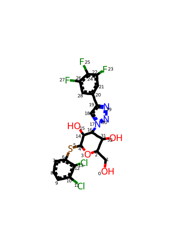 OCC1OC(Sc2cccc(Cl)c2Cl)C(O)C(n2cc(-c3cc(F)c(F)c(F)c3)nn2)C1O